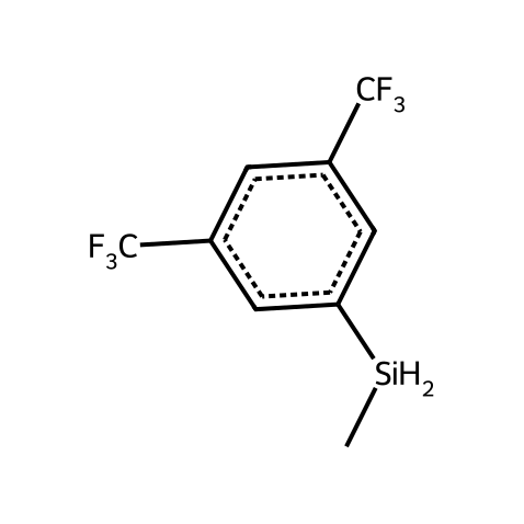 C[SiH2]c1cc(C(F)(F)F)cc(C(F)(F)F)c1